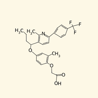 CCCC(Oc1ccc(OCC(=O)O)c(C)c1)c1ccc(-c2ccc(C(F)(F)F)cc2)nc1C